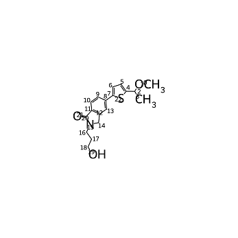 COC(C)c1ccc(-c2ccc3c(c2)CN(CCCO)C3=O)s1